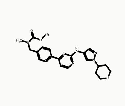 CN(Cc1ccc(-c2ccnc(Nc3cnn(C4CCOCC4)c3)n2)cc1)C(=O)OC(C)(C)C